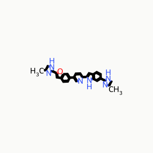 CC1CNC(c2ccc3cc(-c4ccc(-c5ccc6cc(C7=NC(C)CN7)oc6c5)cn4)[nH]c3c2)=N1